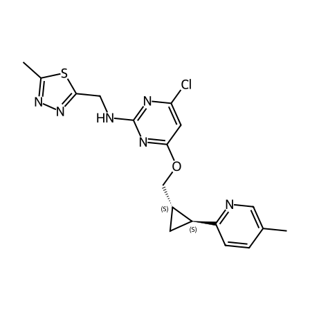 Cc1ccc([C@H]2C[C@@H]2COc2cc(Cl)nc(NCc3nnc(C)s3)n2)nc1